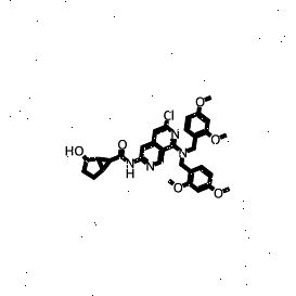 COc1ccc(CN(Cc2ccc(OC)cc2OC)c2nc(Cl)cc3cc(NC(=O)C4C5CCC(O)C54)ncc23)c(OC)c1